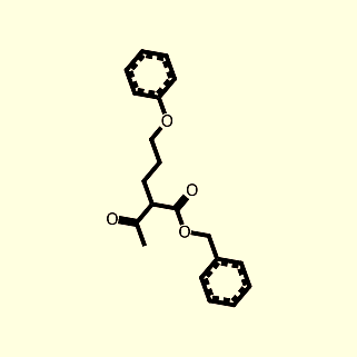 CC(=O)C(CCCOc1ccccc1)C(=O)OCc1ccccc1